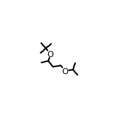 CC(C)OCCC(C)OC(C)(C)C